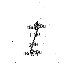 C=CC(=O)Oc1c(C(C)(C)C)cc(CCC(=O)NCCCCCCNC(=O)CCc2cc(C(C)(C)C)c(O)c(C(C)(C)C)c2)cc1C(C)(C)C